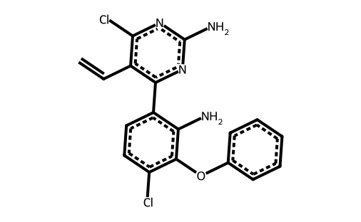 C=Cc1c(Cl)nc(N)nc1-c1ccc(Cl)c(Oc2ccccc2)c1N